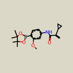 C=C(C(=O)Nc1ccc(B2OC(C)(C)C(C)(C)O2)c(OC)c1)C1CC1